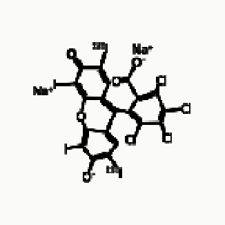 O=C([O-])c1c(Cl)c(Cl)c(Cl)c(Cl)c1-c1c2cc([131I])c(=O)c(I)c-2oc2c(I)c([O-])c([131I])cc12.[Na+].[Na+]